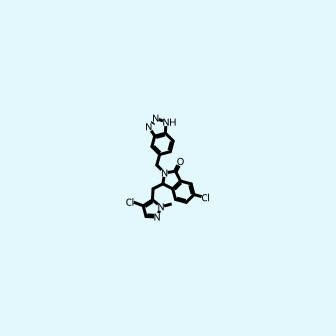 Cn1ncc(Cl)c1CC1c2ccc(Cl)cc2C(=O)N1Cc1ccc2[nH]nnc2c1